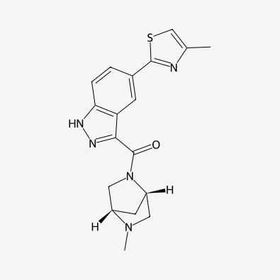 Cc1csc(-c2ccc3[nH]nc(C(=O)N4C[C@@H]5C[C@H]4CN5C)c3c2)n1